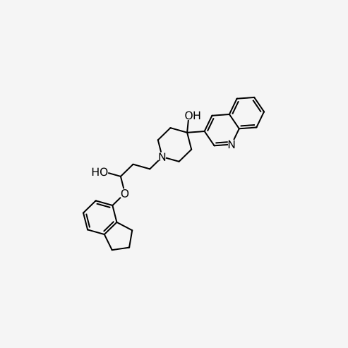 OC(CCN1CCC(O)(c2cnc3ccccc3c2)CC1)Oc1cccc2c1CCC2